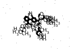 [2H]C([2H])([2H])N1CC[C@H](C(F)F)[C@](C)(COc2nc(N3CCOC[C@@](C)(O[Si](C)(C)C(C)(C)C)C3)c3cc(C#N)c(-c4c(F)ccc5sc(NC(=O)OC(C)(C)C)c(C#N)c45)c(F)c3n2)C1